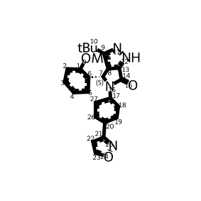 COc1ccccc1[C@@H]1c2c(C(C)(C)C)n[nH]c2C(=O)N1c1ccc(-c2ccon2)cc1